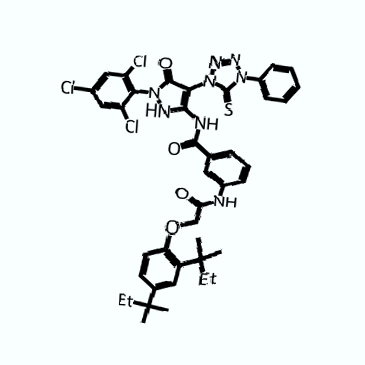 CCC(C)(C)c1ccc(OCC(=O)Nc2cccc(C(=O)Nc3[nH]n(-c4c(Cl)cc(Cl)cc4Cl)c(=O)c3-n3nnn(-c4ccccc4)c3=S)c2)c(C(C)(C)CC)c1